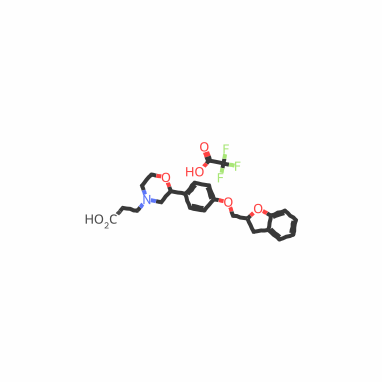 O=C(O)C(F)(F)F.O=C(O)CCN1CCOC(c2ccc(OCC3Cc4ccccc4O3)cc2)C1